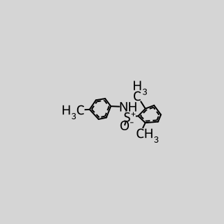 Cc1ccc(N[S+]([O-])c2c(C)cccc2C)cc1